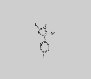 Cc1ccc(-c2cc(I)sc2Br)cc1